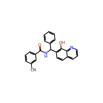 N#Cc1cccc(C(=O)NC(c2ccccc2)c2ccc3cccnc3c2O)c1